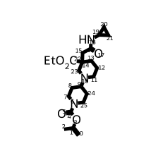 C=C(C)OC(=O)N1CCC(N2CCCC(CC(=O)NC3CC3)(C(=O)OCC)C2)CC1